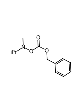 CC(C)N(C)OC(=O)OCc1ccccc1